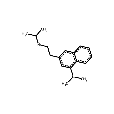 CC(C)[N]CCc1cc(N(C)C)c2ccccc2c1